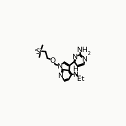 CCNc1ccnc2c1c(-c1ccnc(N)n1)cn2COCC[Si](C)(C)C